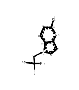 FC(F)(F)Cn1ccc2nc(Cl)ccc21